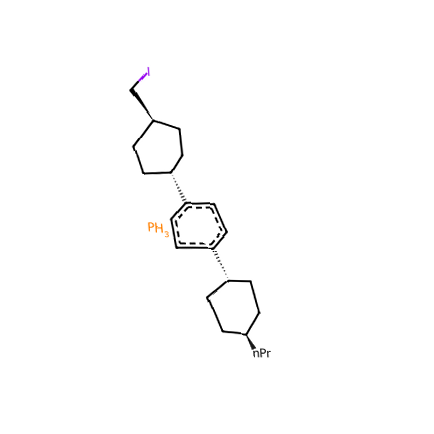 CCC[C@H]1CC[C@H](c2ccc([C@H]3CC[C@H](CI)CC3)cc2)CC1.P